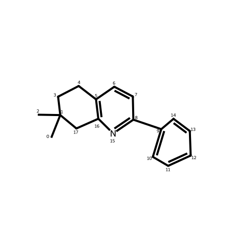 CC1(C)CCc2ccc(-c3ccccc3)nc2C1